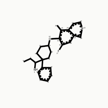 CCC(N)C1(c2ccccc2)CCC(Oc2c(F)cc3cnccc3c2C)CC1